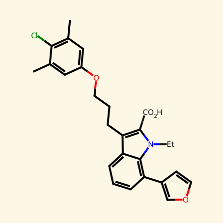 CCn1c(C(=O)O)c(CCCOc2cc(C)c(Cl)c(C)c2)c2cccc(-c3ccoc3)c21